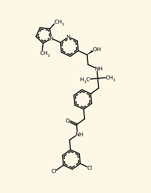 Cc1ccc(C)n1-c1ccc([C@@H](O)CNC(C)(C)Cc2cccc(CC(=O)NCc3cc(Cl)cc(Cl)c3)c2)cn1